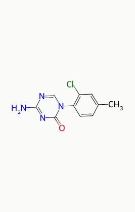 Cc1ccc(-n2cnc(N)nc2=O)c(Cl)c1